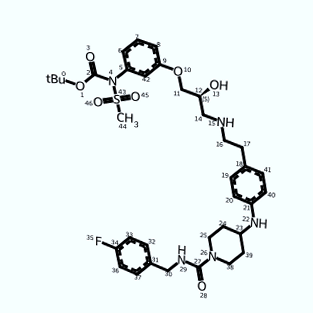 CC(C)(C)OC(=O)N(c1cccc(OC[C@@H](O)CNCCc2ccc(NC3CCN(C(=O)NCc4ccc(F)cc4)CC3)cc2)c1)S(C)(=O)=O